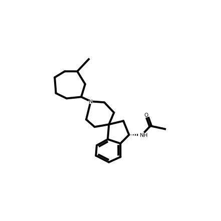 CC(=O)N[C@H]1CC2(CCN(C3CCCCC(C)C3)CC2)c2ccccc21